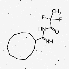 CC(F)(F)C(=O)NC(=N)C1CCCCCCCCCC1